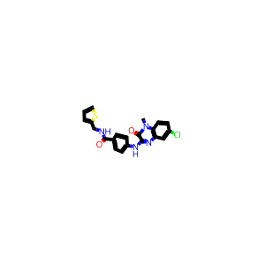 Cn1c(=O)c(Nc2ccc(C(=O)NCc3cccs3)cc2)nc2cc(Cl)ccc21